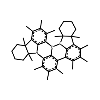 Cc1c(C)c2c3c(c1C)N1c4c(c(C)c(C)c(C)c4C4(C)CCCCC14C)B3N1c3c-2c(C)c(C)c(C)c3C2(C)CCCCC12C